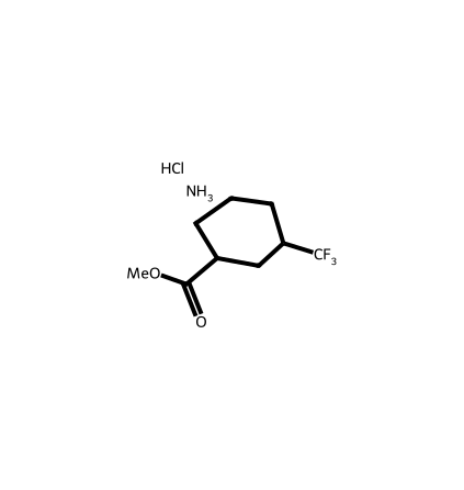 COC(=O)C1CCCC(C(F)(F)F)C1.Cl.N